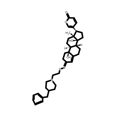 C[C@]12CC/C(=N\OCCN3CCC(Cc4ccccc4)CC3)C=C1CC[C@@H]1[C@@H]2CC[C@]2(C)[C@@H](c3ccc(=O)oc3)CC[C@]12O